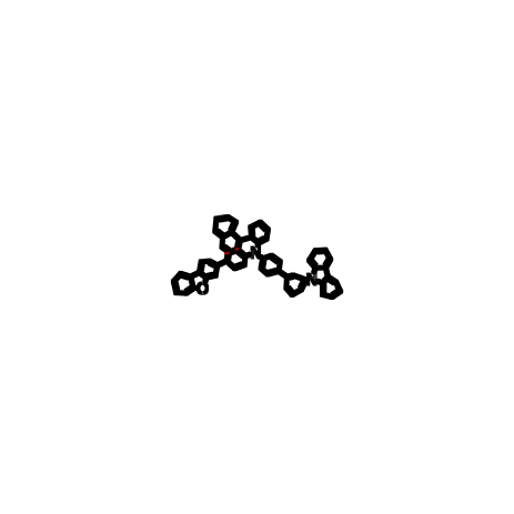 c1cc(-c2ccc(N(c3ccc(-c4ccc5c(c4)oc4ccccc45)cc3)c3ccccc3-c3cccc4ccccc34)cc2)cc(-n2c3ccccc3c3ccccc32)c1